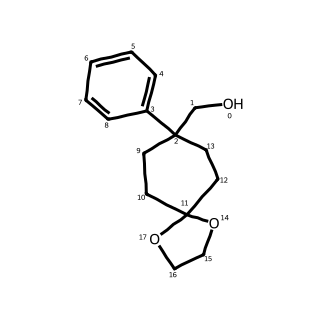 OCC1(c2ccccc2)CCC2(CC1)OCCO2